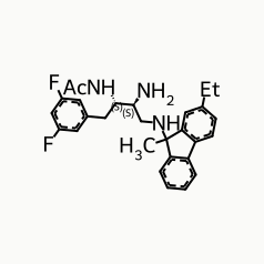 CCc1ccc2c(c1)C(C)(NC[C@H](N)[C@H](Cc1cc(F)cc(F)c1)NC(C)=O)c1ccccc1-2